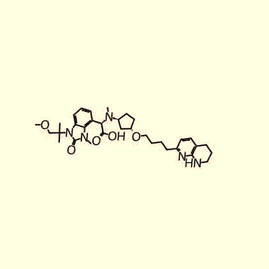 COCC(C)(C)n1c(=O)n(C)c2c([C@H](C(=O)O)N(C)[C@H]3CC[C@H](OCCCCc4ccc5c(n4)NCCC5)C3)cccc21